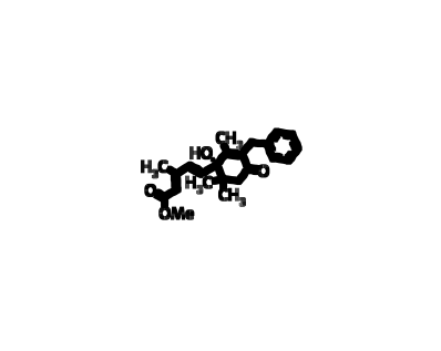 COC(=O)C=C(C)C=C[C@@]1(O)C(C)=C(Cc2ccccc2)C(=O)CC1(C)C